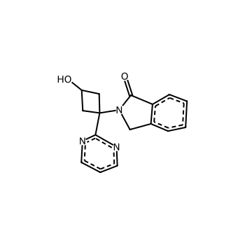 O=C1c2ccccc2CN1C1(c2ncccn2)CC(O)C1